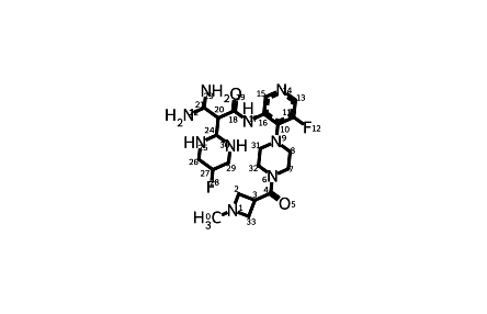 CN1CC(C(=O)N2CCN(c3c(F)cncc3NC(=O)C(C(N)N)C3NCC(F)CN3)CC2)C1